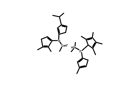 CC1=C(C)[C]([Zr]([C]2=CC(C(C)C)=CC2)[GeH]([CH3])[CH3])=CC1.CC1=CC[C]([Zr]([CH]2C(C)=C(C)C(C)=C2C)[SiH](C)C)=C1